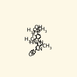 Cc1nnc(N[C@H](C)c2cccc(C(F)(F)C(C)(C)O)c2F)c2cc(N3C4COCC3C4)cnc12